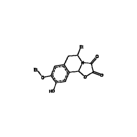 CCOc1cc2c(cc1O)C1OC(=O)C(=O)N1C(CC)C2